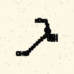 CCCCCCCCCCCCCCCC(=O)O[C@H](COP(=O)(O)O)CSCCCCCCCCCCCCCCCOC=O